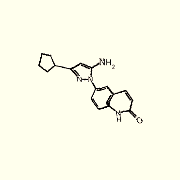 Nc1cc(C2CCCC2)nn1-c1ccc2[nH]c(=O)ccc2c1